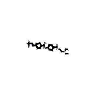 CCN(CC)CCOC(=O)c1ccc(NC(=O)c2ccc(/C=C/C(F)(F)F)cc2)cc1